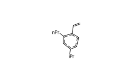 C=Cc1ccc(C(C)C)cc1CCC